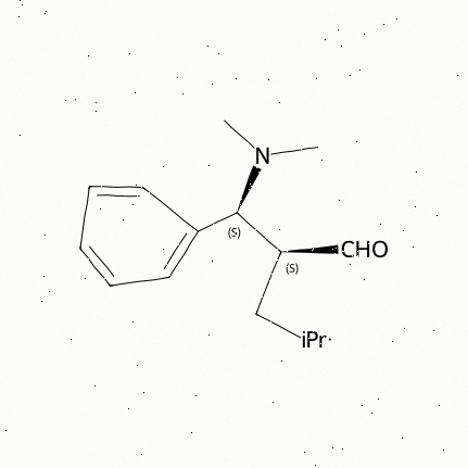 C[C](C)C[C@H](C=O)[C@@H](c1ccccc1)N(C)C